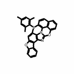 Cc1cc(C)c(B2c3cc4oc5ccccc5c4c4nc5oc6cccc7ccc2c(c76)n5c34)c(C)c1